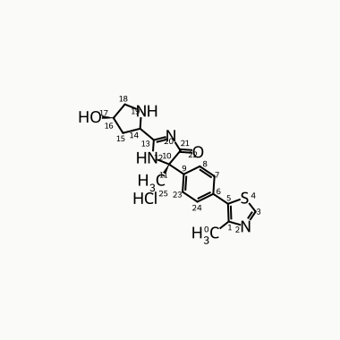 Cc1ncsc1-c1ccc([C@]2(C)NC(C3C[C@@H](O)CN3)=NC2=O)cc1.Cl